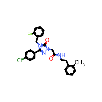 Cc1ccccc1CCNC(=O)Cn1nc(-c2ccc(Cl)cc2)n(Cc2ccccc2F)c1=O